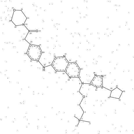 C[Si](C)(C)CCOCN(c1ccc2ncc(Nc3ccc(CC(=O)N4CCOCC4)cc3)cc2n1)c1nnc(C2CCCC2)s1